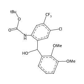 COc1cccc(C(O)c2cc(Cl)c(C(F)(F)F)cc2NC(=O)OC(C)(C)C)c1OC